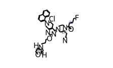 N#CC[C@H]1CN(c2nc(OCCCN3C[C@@H]4C[C@H]3CO4)nc3c2CCN(c2cccc4cccc(Cl)c24)C3)CCN1C(=O)/C=C/CF